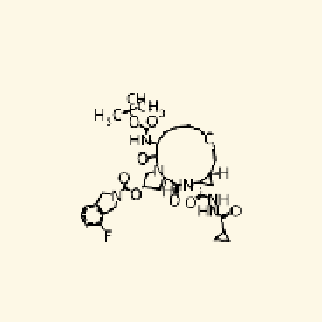 CC(C)(C)OC(=O)N[C@H]1CCCCC/C=C\[C@@H]2C[C@@]2(C(=O)NNC(=O)C2CC2)NC(=O)[C@@H]2C[C@@H](OC(=O)N3Cc4cccc(F)c4C3)CN2C1=O